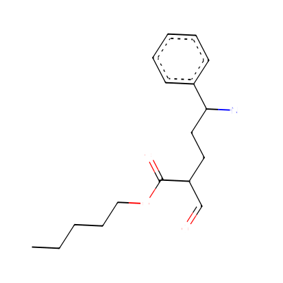 CCCCCOC(=O)C(C=O)CCC(N)c1ccccc1